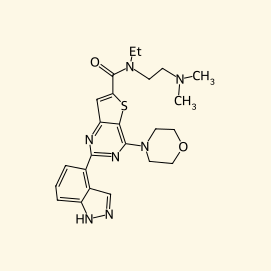 CCN(CCN(C)C)C(=O)c1cc2nc(-c3cccc4[nH]ncc34)nc(N3CCOCC3)c2s1